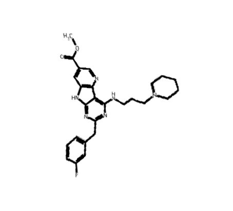 COC(=O)c1cnc2c(c1)[nH]c1nc(Cc3cccc(F)c3)nc(NCCCN3CCCCC3)c12